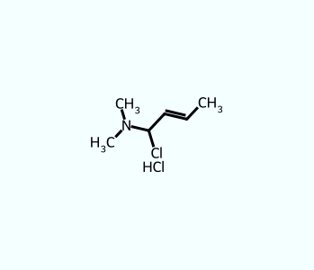 C/C=C/C(Cl)N(C)C.Cl